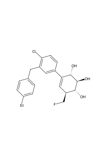 CCc1ccc(Cc2cc(C3=C[C@H](CF)[C@@H](O)[C@H](O)[C@H]3O)ccc2Cl)cc1